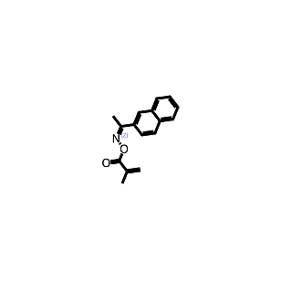 C=C(C)C(=O)O/N=C(/C)c1ccc2ccccc2c1